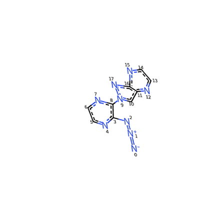 [N-]=[N+]=Nc1nccnc1-n1cc2nccnc2n1